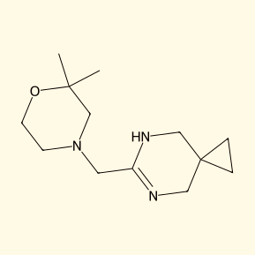 CC1(C)CN(CC2=NCC3(CC3)CN2)CCO1